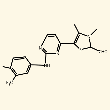 CC1=C(c2ccnc(Nc3ccc(C)c(C(F)(F)F)c3)n2)SC(C=O)N1C